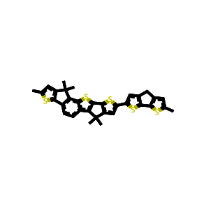 Cc1cc2c(s1)-c1sc(-c3cc4c(s3)-c3sc5c6c(ccc5c3C4(C)C)-c3sc(C)cc3C6(C)C)cc1C2